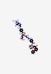 Nc1nc(=O)c2nc(CNc3ccc(C(=O)NC(CCC(=O)O)C(=O)NCCNC(=S)Nc4ccc(C(=O)OC[N+]5(c6cc(=O)c7cccc(-c8ccccc8)c7o6)CCOCC5)cc4)cc3)cnc2[nH]1